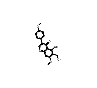 COc1ccc(-c2coc3cc(OC)c(CO)c(O)c3c2=O)cc1